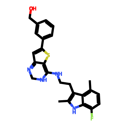 Cc1[nH]c2c(F)ccc(C)c2c1CCNC1=c2sc(-c3cccc(CO)c3)cc2=NCN1